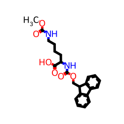 COC(=O)NCCCCC(NC(=O)OCC1c2ccccc2-c2ccccc21)C(=O)O